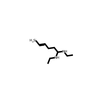 CCNC(CCC=C[SiH3])NCC